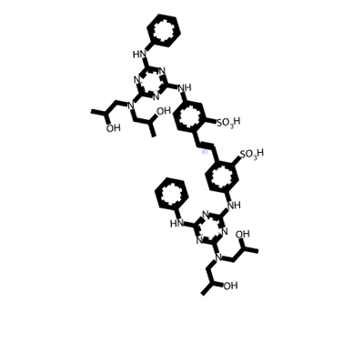 CC(O)CN(CC(C)O)c1nc(Nc2ccccc2)nc(Nc2ccc(/C=C/c3ccc(Nc4nc(Nc5ccccc5)nc(N(CC(C)O)CC(C)O)n4)cc3S(=O)(=O)O)c(S(=O)(=O)O)c2)n1